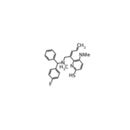 C=C/C=C(/CN(C)C(c1ccccc1)c1ccc(F)cc1)c1nc(S)ccc1NC